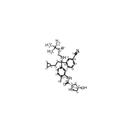 CC(C)(C)[S@@+]([O-])CNC(CCC1CC1)(c1cccc(C#N)c1)c1ccc(F)c(NC(=O)[C@H]2C[C@@H](O)CN2)c1